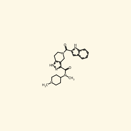 CN1CCC(N(C)C(=O)c2n[nH]c3c2CN(C(=O)c2cc4ccccc4[nH]2)CC3)CC1